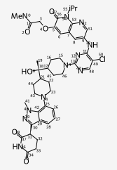 CNC(=O)COc1cc2cc(Nc3nc(N4CCC([C@@](C)(O)C5CCN(c6cccc7c([C@H]8CCC(=O)NC8=O)nn(C)c67)CC5)CC4)ncc3Cl)cnc2n(C(C)C)c1=O